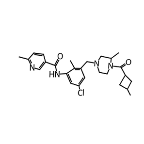 Cc1ccc(C(=O)Nc2cc(Cl)cc(CN3CCN(C(=O)C4CC(C)C4)C(C)C3)c2C)cn1